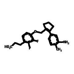 Cc1ccc(C2=C(COc3ccc(CCC(=O)O)c(F)c3F)CCC2)cc1N